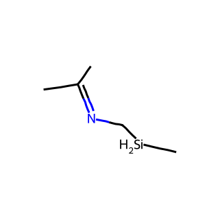 C[SiH2]CN=C(C)C